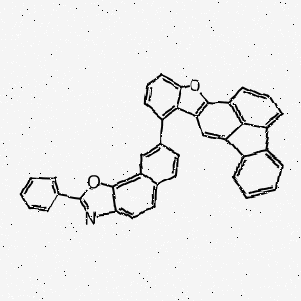 c1ccc(-c2nc3ccc4ccc(-c5cccc6oc7c8cccc9c8c(cc7c56)-c5ccccc5-9)cc4c3o2)cc1